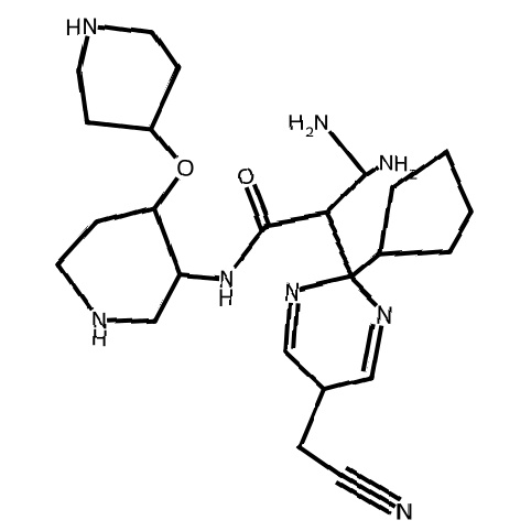 N#CCC1C=NC(C2CCCC2)(C(C(=O)NC2CNCCC2OC2CCNCC2)C(N)N)N=C1